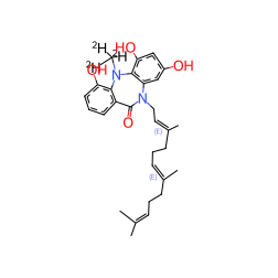 [2H]C([2H])([2H])N1c2c(O)cccc2C(=O)N(C/C=C(\C)CC/C=C(\C)CCC=C(C)C)c2cc(O)cc(O)c21